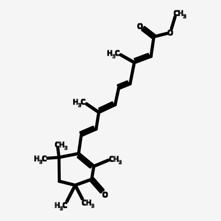 COC(=O)/C=C(C)/C=C/C=C(C)/C=C/C1=C(C)C(=O)C(C)(C)CC1(C)C